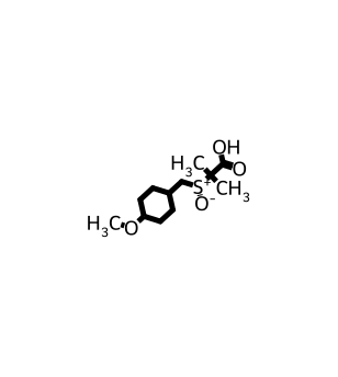 COC1CCC(C[S+]([O-])C(C)(C)C(=O)O)CC1